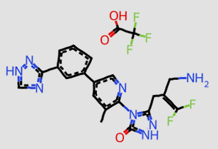 Cc1cc(-c2cccc(-c3nc[nH]n3)c2)cnc1-n1c(CC(CN)=C(F)F)n[nH]c1=O.O=C(O)C(F)(F)F